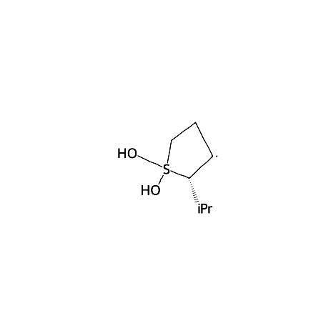 CC(C)[C@H]1[CH]CCS1(O)O